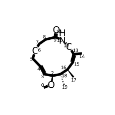 CO[C@H]1/C=C/CCCCC(=O)NC/C(C)=C\[C@@H](C)[C@@H]1C